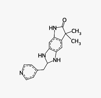 CC1(C)C(=O)Nc2cc3c(cc21)NC(Cc1ccncc1)N3